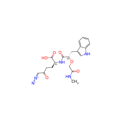 CNC(=O)CO[C@@H](Cc1c[nH]c2ccccc12)C(=O)N[C@@H](CCC(=O)C=[N+]=[N-])C(=O)O